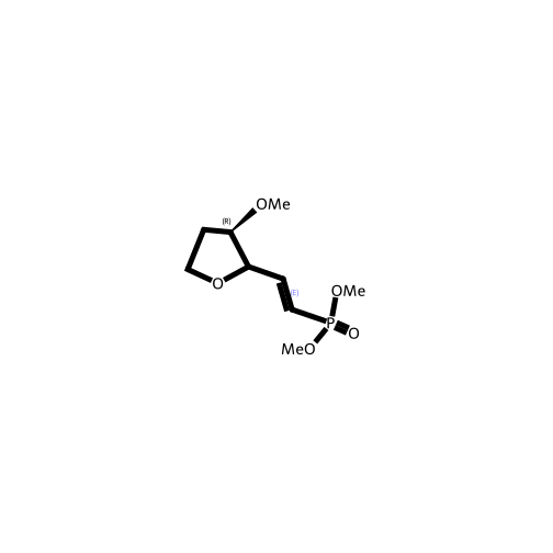 CO[C@@H]1CCOC1/C=C/P(=O)(OC)OC